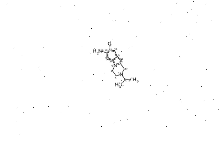 CC(C)N1CCn2c(cc3cc(Cl)c(N)nc32)C1